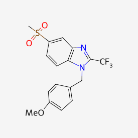 COc1ccc(Cn2c(C(F)(F)F)nc3cc(S(C)(=O)=O)ccc32)cc1